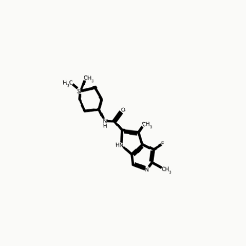 Cc1ncc2[nH]c(C(=O)NC3CC[Si](C)(C)CC3)c(C)c2c1F